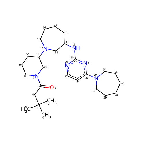 CC(C)(C)CC(=O)N1CCCC(N2CCCCC(Nc3nccc(N4CCCCCC4)n3)C2)C1